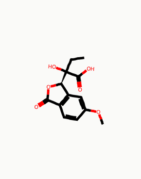 CCC(O)(C(=O)O)[C@@H]1OC(=O)c2ccc(OC)cc21